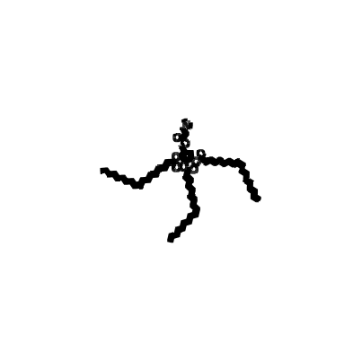 CCCCCCCC/C=C\CCCCCCCC(=O)OC1CC(COC(=O)CCN(C)C)C(OC(=O)CCCCCCC/C=C\CCCCCCCC)C1OC(=O)CCCCCCC/C=C\CCCCCCCC